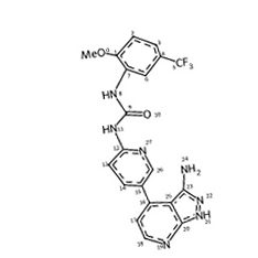 COc1ccc(C(F)(F)F)cc1NC(=O)Nc1ccc(-c2ccnc3[nH]nc(N)c23)cn1